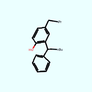 CCCCC(c1ccccc1)c1cc(CC(C)C)ccc1O